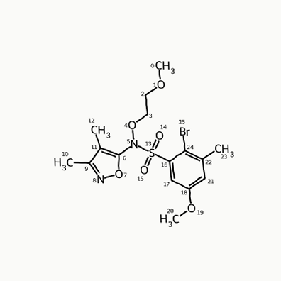 COCCON(c1onc(C)c1C)S(=O)(=O)c1cc(OC)cc(C)c1Br